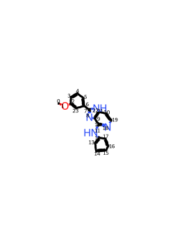 COc1cccc(-c2nc3c(Nc4ccccc4)nccc3[nH]2)c1